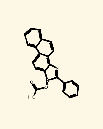 CC(=O)On1c(-c2ccccc2)nc2c3ccc4ccccc4c3ccc21